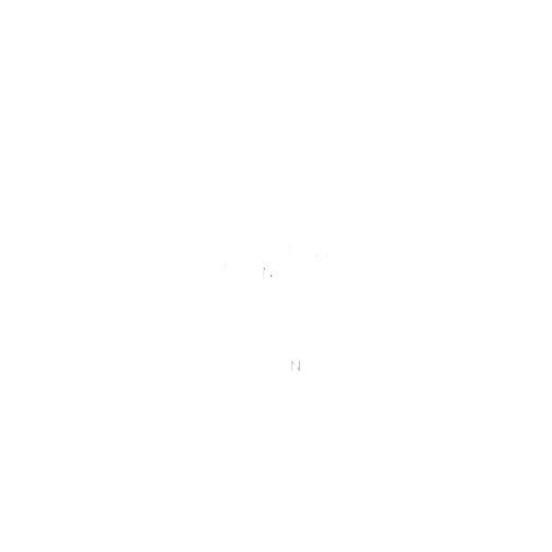 CN1CCC(N(Cl)C(=O)c2ccccc2)CC1